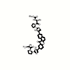 COC(=O)N[C@H](C(=O)N1CCC[C@H]1c1ncc(-c2ccc3c(ccc4oc5ccc(-c6cnc([C@@H]7CCCN7C(=O)[C@@H](N)C(C)C)[nH]6)cc5c(=O)c43)c2)[nH]1)C(C)C